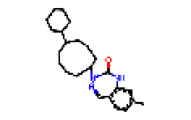 Cc1ccc2c(c1)NC(=O)N(C1CCCCC(C3CCCCC3)CCC1)N=C2